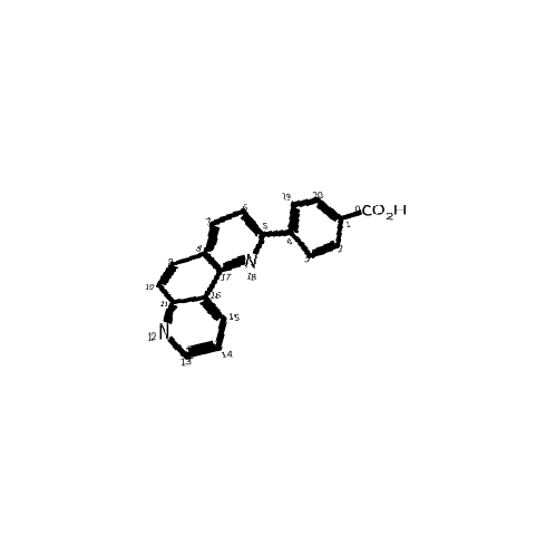 O=C(O)c1ccc(-c2ccc3ccc4ncccc4c3n2)cc1